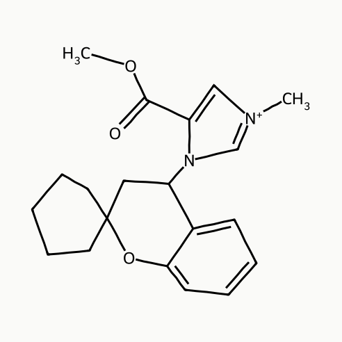 COC(=O)c1c[n+](C)cn1C1CC2(CCCCC2)Oc2ccccc21